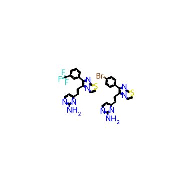 Nc1nccc(/C=C/c2c(-c3ccc(Br)cc3)nc3sccn23)n1.Nc1nccc(/C=C/c2c(-c3cccc(C(F)(F)F)c3)nc3sccn23)n1